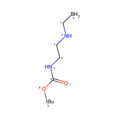 BCNCCNC(=O)OC(C)(C)C